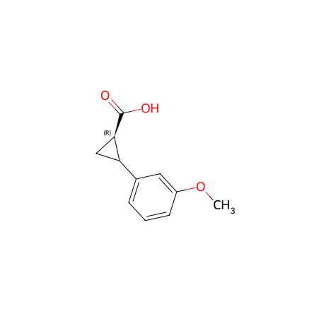 COc1cccc(C2C[C@H]2C(=O)O)c1